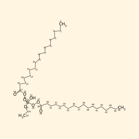 CCCCCCCCCCCCCCCCCC(=O)OO[Si](O)(OCC)OOC(=O)CCCCCCCCCCCCCCCCC